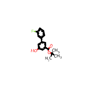 CC(C)(C)OC(=O)c1cc(O)cc(-c2cccc(F)c2)c1